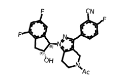 CC(=O)N1CCc2c(c(-c3ccc(F)c(C#N)c3)nn2[C@@H]2c3cc(F)cc(F)c3C[C@H]2O)C1